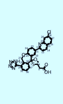 COC1(SCCC(=O)O)c2cc(-c3ccc4ccc(Cl)cc4n3)ccc2OCc2c(-c3nnn[nH]3)cccc21